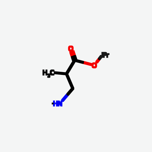 CC(C)OC(=O)C(C)C[NH]